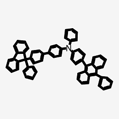 c1ccc(-c2c3ccccc3c(-c3ccc(N(c4ccccc4)c4ccc(-c5ccc(C6(c7ccccc7)c7ccccc7-c7ccccc76)cc5)cc4)cc3)c3ccccc23)cc1